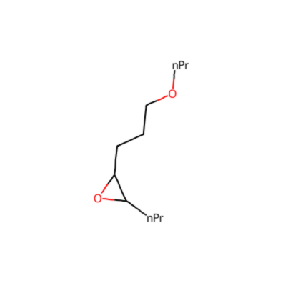 CCCOCCCC1OC1CCC